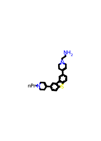 CCCN1CC=C(c2ccc3sc4ccc(C5=CCN(CCN)CC5)cc4c3c2)CC1